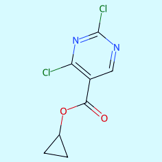 O=C(OC1CC1)c1cnc(Cl)nc1Cl